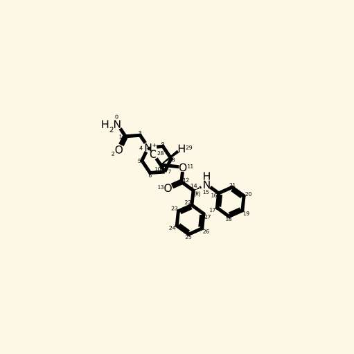 NC(=O)C[N+]12CCC(CC1)[C@@H](OC(=O)[C@H](Nc1ccccc1)c1ccccc1)C2